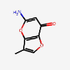 Cc1coc2c(=O)cc(N)oc12